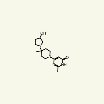 Cc1nc(N2CCC(C)(N3CC[C@@H](O)C3)CC2)cc(=O)[nH]1